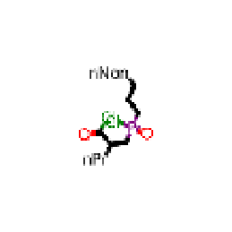 CCCCCCCCCCCCP(=O)(Cl)CC(CCC)C(=O)Cl